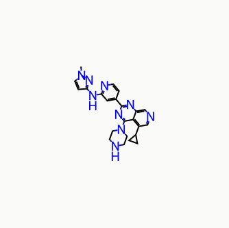 Cn1ccc(Nc2cc(-c3nc(N4CCNCC4)c4c(C5CC5)cncc4n3)ccn2)n1